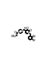 CC(C)(C)OC(=O)N1CCN(Cc2ccn(Cc3cccc(Br)c3Br)c(=O)c2O)CC1